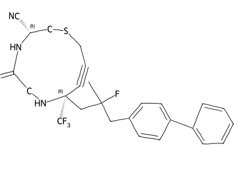 CC(F)(Cc1ccc(-c2ccccc2)cc1)C[C@]1(C(F)(F)F)C#CCSC[C@@H](C#N)NC(=O)CN1